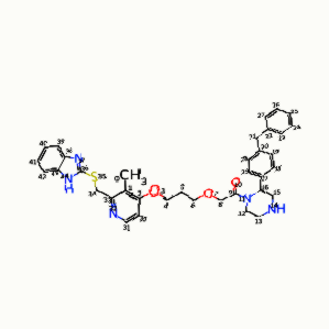 Cc1c(OCCCOCC(=O)N2CCNCC2c2ccc(Cc3ccccc3)cc2)ccnc1CSc1nc2ccccc2[nH]1